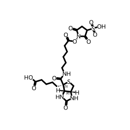 O=C(O)CCCC[C@]1(C(=O)NCCCCCC(=O)ON2C(=O)CC(S(=O)(=O)O)C2=O)SC[C@@H]2NC(=O)N[C@@H]21